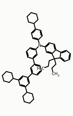 CCCC1(CCC)c2ccccc2-c2ccc(N(c3ccc(C4CCCCC4)cc3)c3cccc(-c4cccc(-c5cc(C6CCCCC6)cc(C6CCCCC6)c5)c4)c3)cc21